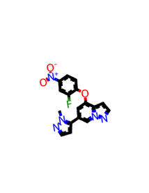 Cn1nccc1-c1cc(Oc2ccc([N+](=O)[O-])cc2F)c2ccnn2c1